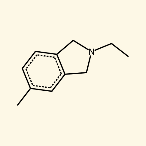 CCN1Cc2ccc(C)cc2C1